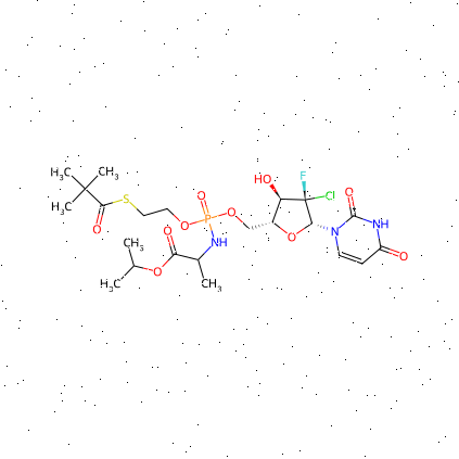 CC(C)OC(=O)C(C)NP(=O)(OCCSC(=O)C(C)(C)C)OC[C@H]1O[C@@H](n2ccc(=O)[nH]c2=O)[C@@](F)(Cl)[C@@H]1O